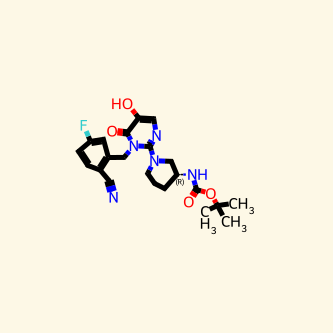 CC(C)(C)OC(=O)N[C@@H]1CCCN(c2ncc(O)c(=O)n2Cc2cc(F)ccc2C#N)C1